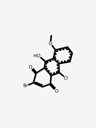 COc1cccc2c(Cl)c3c(c(O)c12)C(=O)C(Br)=CC3=O